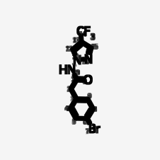 O=C(Cc1ccc(Br)cc1)Nn1cc(C(F)(F)F)cn1